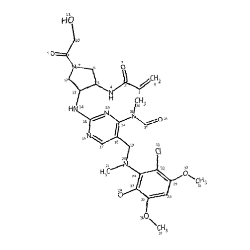 C=CC(=O)NC1CN(C(=O)CO)CC1Nc1ncc(CN(C)c2c(Cl)c(OC)cc(OC)c2Cl)c(N(C)C=O)n1